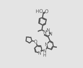 Cc1cc(Nc2cc(OC3CCCC3)ccn2)nc(-c2cn(C(C)c3ccc(C(=O)O)cc3)nn2)c1